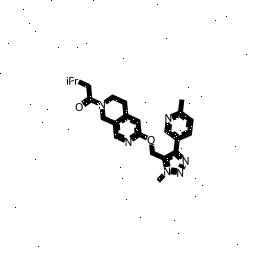 Cc1ccc(-c2nnn(C)c2COc2cc3c(cn2)CN(C(=O)CC(C)C)CC3)cn1